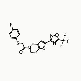 O=C(CSc1ccc(F)cc1)N1CCc2sc(-c3noc(C(F)(F)F)n3)cc2C1